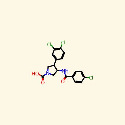 O=C(NC1CN(C(=O)O)CC1c1ccc(Cl)c(Cl)c1)c1ccc(Cl)cc1